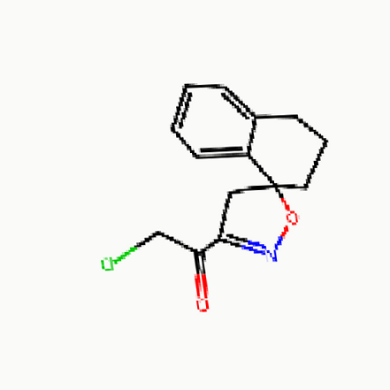 O=C(CCl)C1=NOC2(CCCc3ccccc32)C1